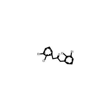 CCc1cccc(CC(=O)Cc2cccc(CC)c2Cl)c1Cl